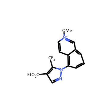 CCOC(=O)c1cnn(-c2cccc3c[n+](OC)ccc23)c1C(F)(F)F